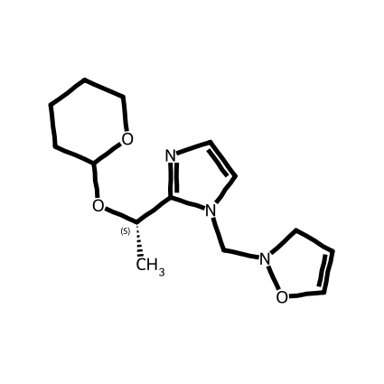 C[C@H](OC1CCCCO1)c1nccn1CN1CC=CO1